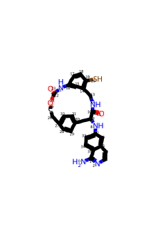 Nc1nccc2cc(NC3C(=O)NCc4cc(ccc4S)NC(=O)OCCc4ccc3cc4)ccc12